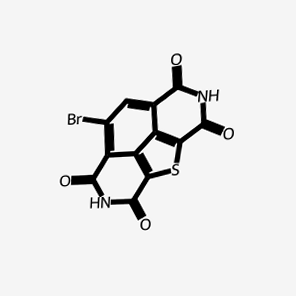 O=C1NC(=O)c2sc3c4c(c(Br)cc1c24)C(=O)NC3=O